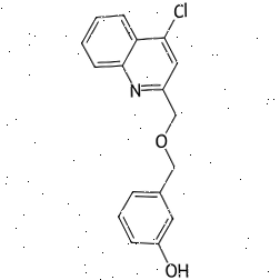 Oc1cccc(COCc2cc(Cl)c3ccccc3n2)c1